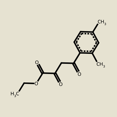 CCOC(=O)C(=O)CC(=O)c1ccc(C)cc1C